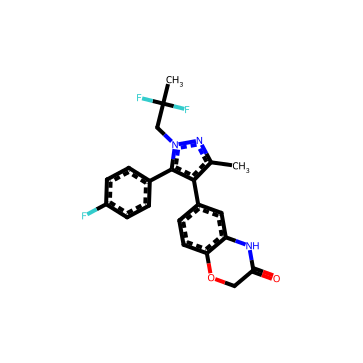 Cc1nn(CC(C)(F)F)c(-c2ccc(F)cc2)c1-c1ccc2c(c1)NC(=O)CO2